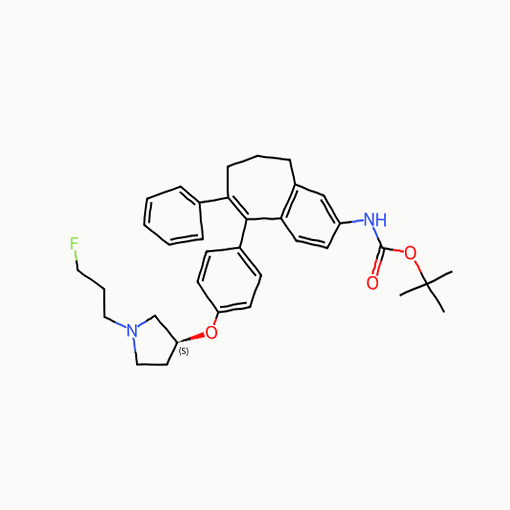 CC(C)(C)OC(=O)Nc1ccc2c(c1)CCCC(c1ccccc1)=C2c1ccc(O[C@H]2CCN(CCCF)C2)cc1